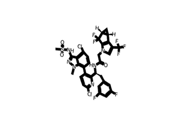 Cn1nc(NS(C)(=O)=O)c2c(Cl)ccc(-c3ccc(Cl)nc3[C@H](Cc3cc(F)cc(F)c3)NC(=O)Cn3cc(C(F)(F)F)c4c3C(F)(F)[C@@H]3C[C@H]43)c21